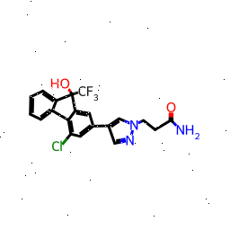 NC(=O)CCn1cc(-c2cc(Cl)c3c(c2)C(O)(C(F)(F)F)c2ccccc2-3)cn1